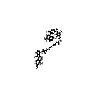 COc1cc(CCN(C)C(=O)CCOCCOCCNC(=O)COc2cccc3c2C(=O)N(C2CCC(=O)NC2=O)C3=O)c(C)cc1Nc1ncc(Cl)c(Nc2ccccc2P(C)(C)=O)n1